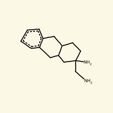 NCC1(N)CCC2Cc3ccccc3CC2C1